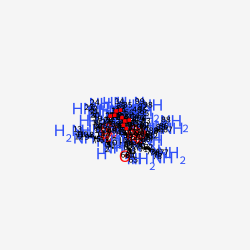 C[C@H](N)C(=O)N[C@@H](CCCNC(=N)N)C(=O)N[C@@H](CCCNC(=N)N)C(=O)N[C@@H](CCCNC(=N)N)C(=O)N[C@@H](CCCNC(=N)N)C(=O)N[C@@H](CCCNC(=N)N)C(=O)N[C@@H](CCC(N)=O)C(=O)N[C@@H](CCCNC(=N)N)C(=O)N[C@@H](CCCNC(=N)N)C(=O)N[C@@H](CCCNC(=N)N)C(=O)N[C@@H](CCCNC(=N)N)C(N)=O